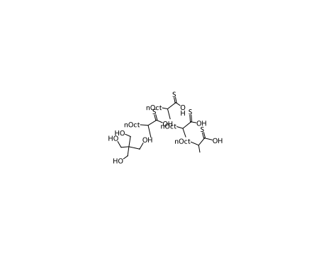 CCCCCCCCC(C)C(O)=S.CCCCCCCCC(C)C(O)=S.CCCCCCCCC(C)C(O)=S.CCCCCCCCC(C)C(O)=S.OCC(CO)(CO)CO